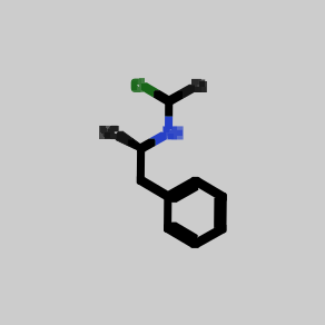 CCC(Cl)N[C@H](C#N)Cc1ccccc1